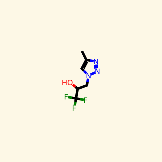 Cc1cn(CC(O)C(F)(F)F)nn1